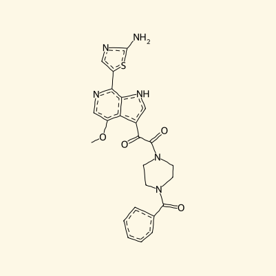 COc1cnc(-c2cnc(N)s2)c2[nH]cc(C(=O)C(=O)N3CCN(C(=O)c4ccccc4)CC3)c12